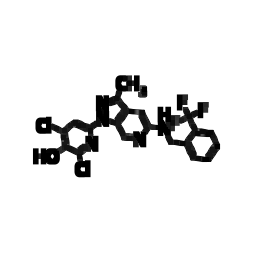 Cc1nn(-c2cc(Cl)c(O)c(Cl)n2)c2cnc(NCc3ccccc3C(F)(F)F)cc12